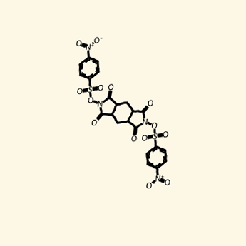 O=C1C2CC3C(=O)N(OS(=O)(=O)c4ccc([N+](=O)[O-])cc4)C(=O)C3CC2C(=O)N1OS(=O)(=O)c1ccc([N+](=O)[O-])cc1